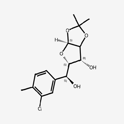 Cc1ccc([C@H](O)[C@@H]2O[C@H]3OC(C)(C)OC3[C@@H]2O)cc1Cl